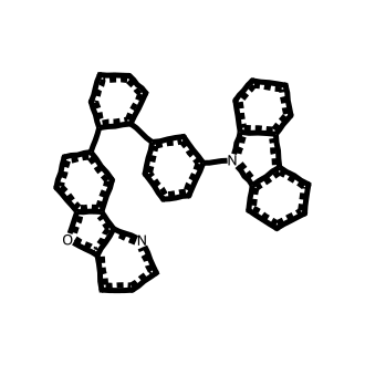 c1cc(-c2ccccc2-c2ccc3oc4cccnc4c3c2)cc(-n2c3ccccc3c3ccccc32)c1